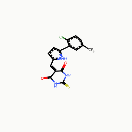 O=C1NC(=S)NC(=O)C1=Cc1ccc(-c2cc(C(F)(F)F)ccc2Cl)[nH]1